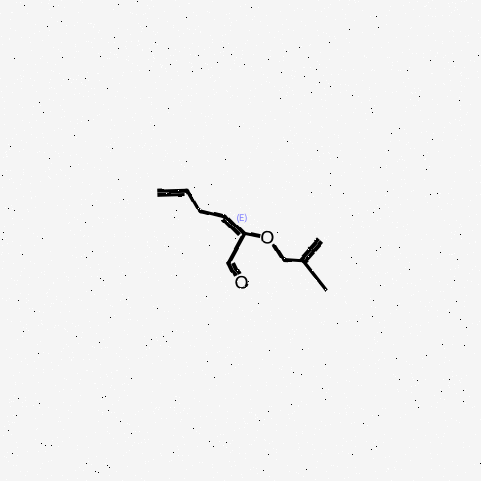 C=CC/C=C(\C=O)OCC(=C)C